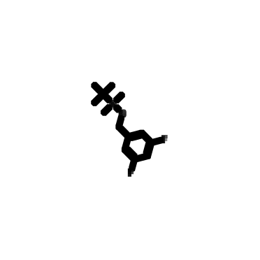 CC(C)(C)[Si](C)(C)OCc1cc(F)cc(F)c1